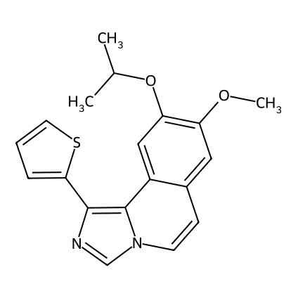 COc1cc2ccn3cnc(-c4cccs4)c3c2cc1OC(C)C